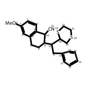 COc1ccc2c(c1)CCC(C(Cc1ccccc1)C1CSCCS1)C2C#N